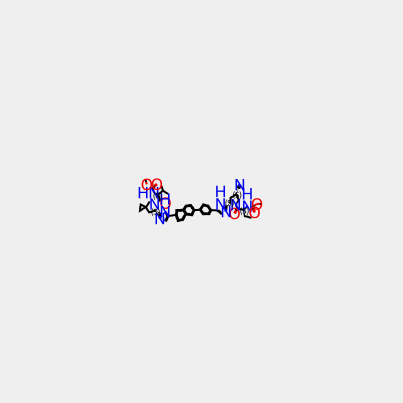 CC[C@H](NC(=O)OC)C(=O)N1C[C@@H](C#N)C[C@H]1c1ncc(-c2ccc(-c3ccc4cc(-c5cnc([C@@H]6CC7(CC7)CN6C(=O)[C@@H](NC(=O)OC)C(C)C)[nH]5)ccc4c3)cc2)[nH]1